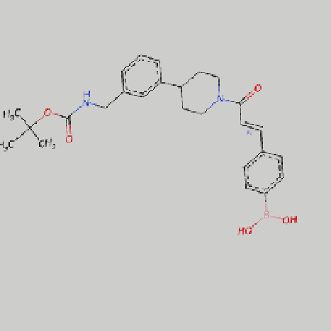 CC(C)(C)OC(=O)NCc1cccc(C2CCN(C(=O)/C=C/c3ccc(B(O)O)cc3)CC2)c1